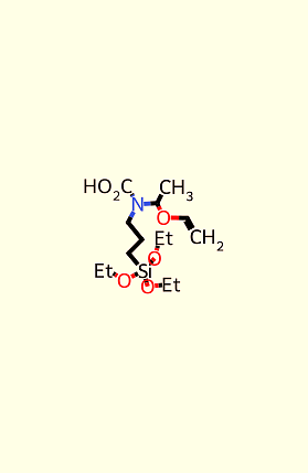 C=COC(C)N(CCC[Si](OCC)(OCC)OCC)C(=O)O